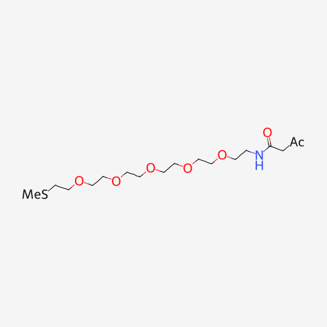 CSCCOCCOCCOCCOCCOCCNC(=O)CC(C)=O